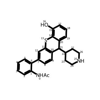 CC(=O)Nc1ccccc1-c1ccc2c(c1)Sc1c(O)cccc1C2C1CCNCC1